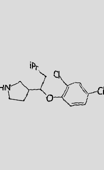 CC(C)CC(Oc1ccc(Cl)cc1Cl)C1CCNC1